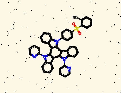 N#Cc1ccccc1S(=O)(=O)c1ccc(-n2c3ccccc3c3c2c2c4ccccc4n(-c4ccccn4)c2c2c4ccccc4n(-c4ccccn4)c32)cc1